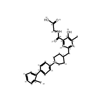 Cc1nc(CC2CCN(c3ccc(-c4ccccc4F)cc3)CC2)nc(C(=O)NCC(=O)O)c1O